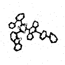 c1ccc(-c2ccc(-c3c4ccccc4c(-c4nc(-c5ccccc5-c5ccccc5)nc(-c5cccc6c5oc5ccccc56)n4)c4ccccc34)cc2)cc1